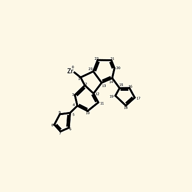 [Zr][CH]1c2cc(C3=CC=CC3)ccc2-c2c(C3=CC=CC3)cccc21